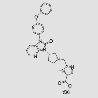 Cn1c(C(=O)OC(C)(C)C)cnc1CN1CC[C@H](n2c(=O)n(-c3ccc(Oc4ccccc4)cc3)c3cccnc32)C1